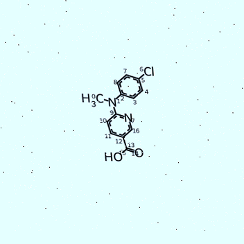 CN(c1ccc(Cl)cc1)c1ccc(C(=O)O)cn1